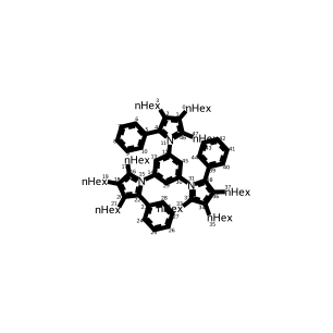 CCCCCCc1c(CCCCCC)c(-c2ccccc2)n(-c2cc(-n3c(CCCCCC)c(CCCCCC)c(CCCCCC)c3-c3ccccc3)cc(-n3c(CCCCCC)c(CCCCCC)c(CCCCCC)c3-c3ccccc3)c2)c1CCCCCC